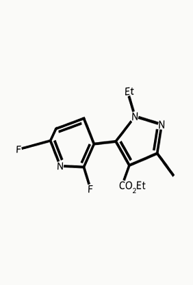 CCOC(=O)c1c(C)nn(CC)c1-c1ccc(F)nc1F